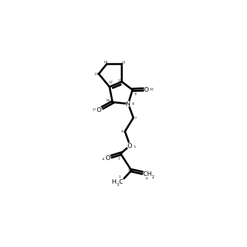 C=C(C)C(=O)OCCN1C(=O)C2=C(CCC2)C1=O